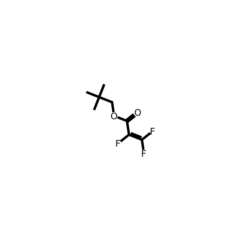 CC(C)(C)COC(=O)C(F)=C(F)F